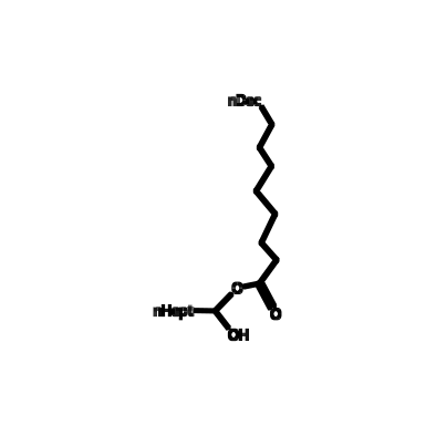 CCCCCCCCCCCCCCCCCC(=O)OC(O)CCCCCCC